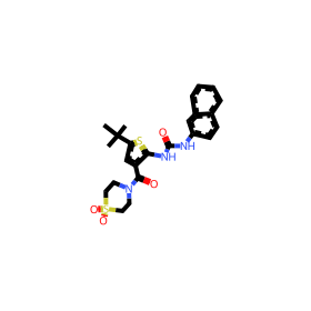 CC(C)(C)c1cc(C(=O)N2CCS(=O)(=O)CC2)c(NC(=O)Nc2ccc3ccccc3c2)s1